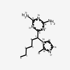 CCCCCC(c1nc(N)nc(N)n1)n1ccnc1C